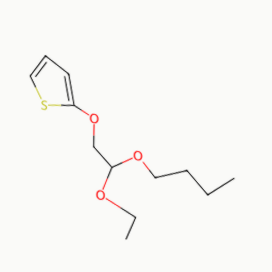 CCCCOC(COc1cccs1)OCC